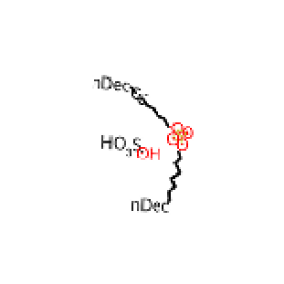 CCCCCCCCCCCCCCCCCCOS(=O)(=O)OCCCCCCCCCCCCCCCCCC.O=S(=O)(O)O